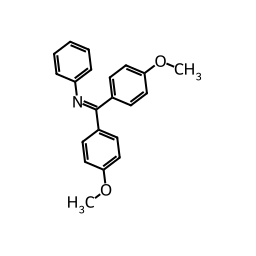 COc1ccc(C(=Nc2ccccc2)c2ccc(OC)cc2)cc1